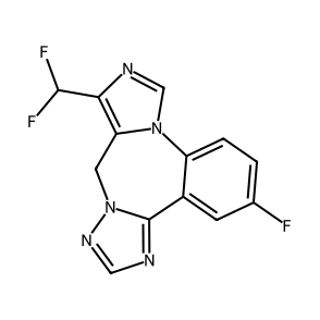 Fc1ccc2c(c1)-c1ncnn1Cc1c(C(F)F)ncn1-2